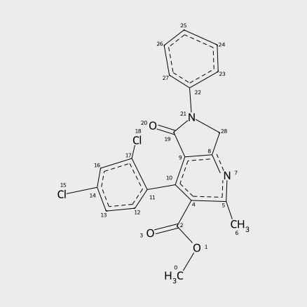 COC(=O)c1c(C)nc2c(c1-c1ccc(Cl)cc1Cl)C(=O)N(c1ccccc1)C2